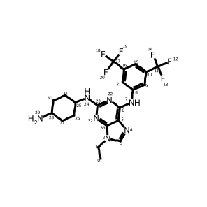 CCn1cnc2c(Nc3cc(C(F)(F)F)cc(C(F)(F)F)c3)nc(NC3CCC(N)CC3)nc21